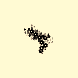 Bc1c(B)c(B)c(-c2c(B)c(B)c(-c3c(B)c(B)c(N(c4cccc(-c5cccc6oc7c8ccccc8ccc7c56)c4)c4c(B)c(B)c(B)c(B)c4B)c(B)c3B)c(B)c2B)c(B)c1B